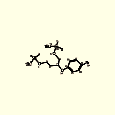 CC(C)(C)[Si](C)(C)OCCC(CO[Si](C)(C)C(C)(C)C)Oc1ccc(Br)cc1